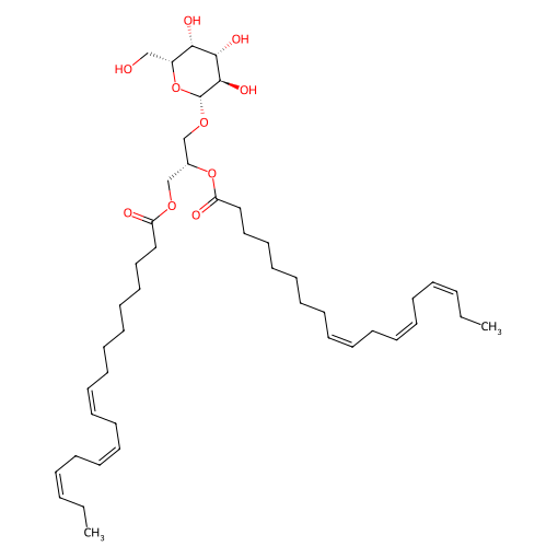 CC/C=C\C/C=C\C/C=C\CCCCCCCC(=O)OC[C@H](CO[C@@H]1O[C@H](CO)[C@H](O)[C@H](O)[C@H]1O)OC(=O)CCCCCCC/C=C\C/C=C\C/C=C\CC